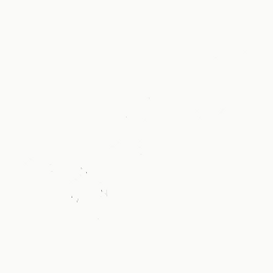 Clc1nc(-c2ccccc2)nc(-c2ccc3c(c2)oc2ccc(-c4cccc(-c5ccccc5)c4)cc23)n1